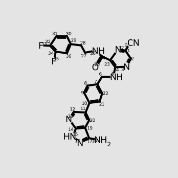 N#Cc1cnc(NCc2ccc(-c3cnc4[nH]nc(N)c4c3)cc2)c(C(=O)NCCc2ccc(F)c(F)c2)n1